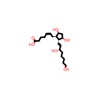 O=C(O)CCC/C=C\C[C@@H]1[C@@H](/C=C/[C@@H](O)CCCCCO)[C@H](O)C[C@@H]1O